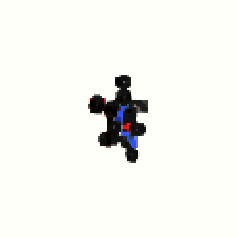 N#Cc1cc2c(oc3c(-c4nc(-c5ccccc5)cc(-c5ccccc5)n4)cccc32)c(-n2c3ccc(-c4ccccc4)cc3c3cc(-c4ccccc4)ccc32)c1-n1c2ccc(-c3ccccc3)cc2c2cc(-c3ccccc3)ccc21